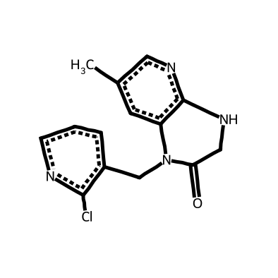 Cc1cnc2c(c1)N(Cc1cccnc1Cl)C(=O)CN2